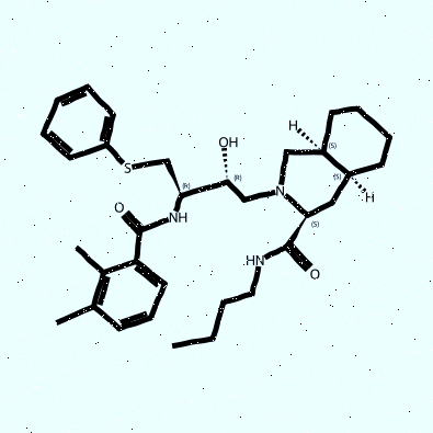 CCCCNC(=O)[C@@H]1C[C@@H]2CCCC[C@@H]2CN1C[C@@H](O)[C@H](CSc1ccccc1)NC(=O)c1cccc(C)c1C